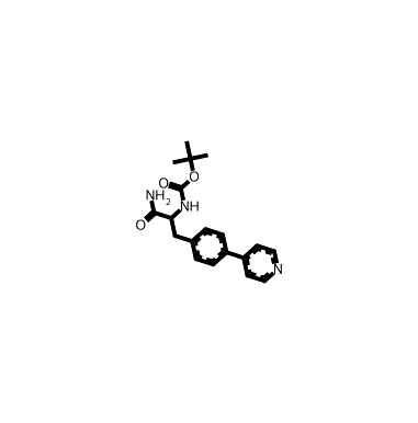 CC(C)(C)OC(=O)NC(Cc1ccc(-c2ccncc2)cc1)C(N)=O